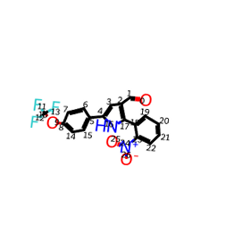 O=Cc1cc(-c2ccc(OC(F)(F)F)cc2)[nH]c1-c1ccccc1[N+](=O)[O-]